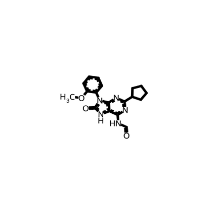 COc1ccccc1-n1c(=O)[nH]c2c(NC=O)nc(C3CCCC3)nc21